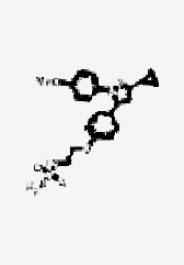 COc1ccc(-n2nc(C3CC3)cc2-c2ccc(OCCNS(N)(=O)=O)cc2)cc1